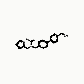 CC(C)C(=O)N(Cc1ccc(-c2ccc(CO)cc2)cc1)Cc1ccco1